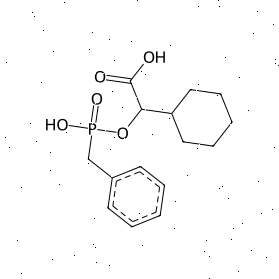 O=C(O)C(OP(=O)(O)Cc1ccccc1)C1CCCCC1